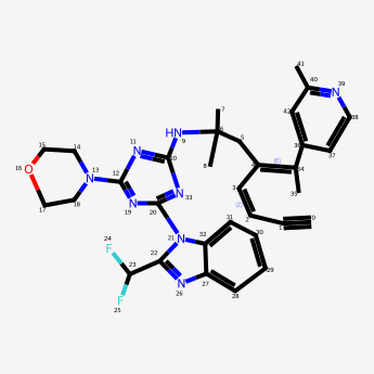 C#C/C=C\C(CC(C)(C)Nc1nc(N2CCOCC2)nc(-n2c(C(F)F)nc3ccccc32)n1)=C(/C)c1ccnc(C)c1